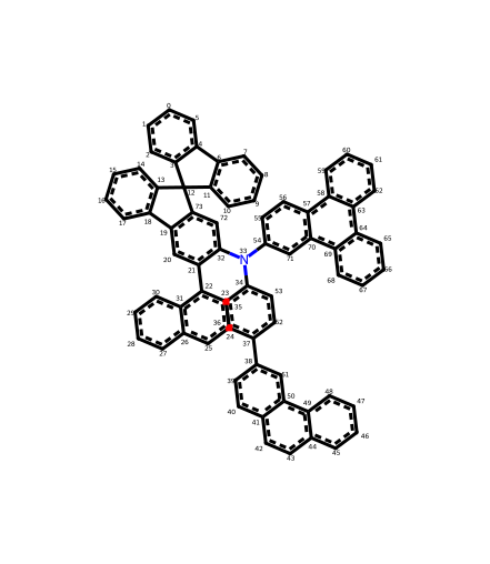 c1ccc2c(c1)-c1ccccc1C21c2ccccc2-c2cc(-c3cccc4ccccc34)c(N(c3ccc(-c4ccc5ccc6ccccc6c5c4)cc3)c3ccc4c5ccccc5c5ccccc5c4c3)cc21